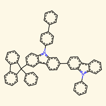 c1ccc(-c2ccc(-n3c4ccc(C5(c6ccccc6)c6ccccc6-c6ccccc65)cc4c4ccc(-c5ccc6c7ccccc7n(-c7ccccc7)c6c5)cc43)cc2)cc1